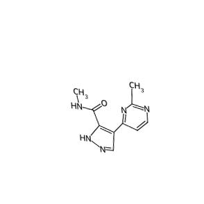 CNC(=O)c1[nH]ncc1-c1ccnc(C)n1